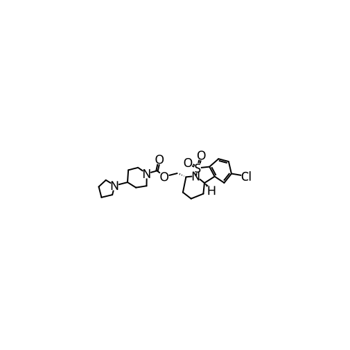 O=C(OC[C@H]1CCC[C@H]2c3cc(Cl)ccc3S(=O)(=O)N12)N1CCC(N2CCCC2)CC1